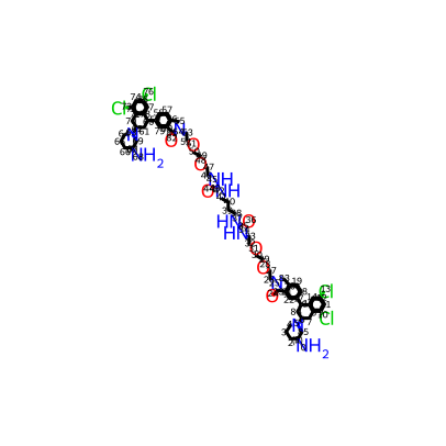 N[C@@H]1CCCN(C2Cc3c(Cl)cc(Cl)cc3C(c3ccc4c(c3)C(=O)N(CCOCCOCCNC(=O)NCCCCNC(=O)NCCOCCOCCN3Cc5ccc(C6CC(N7CCC[C@@H](N)C7)Cc7c(Cl)cc(Cl)cc76)cc5C3=O)C4)C2)C1